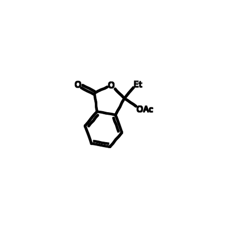 CCC1(OC(C)=O)OC(=O)c2ccccc21